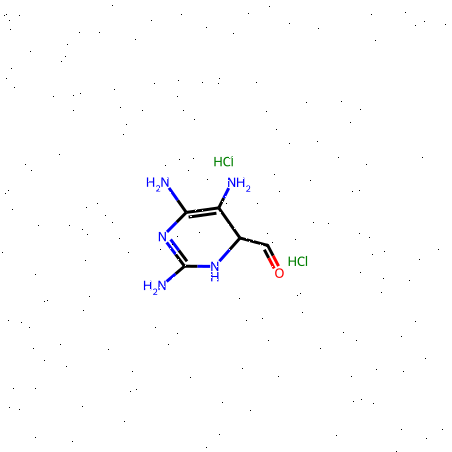 Cl.Cl.NC1=NC(N)=C(N)C(C=O)N1